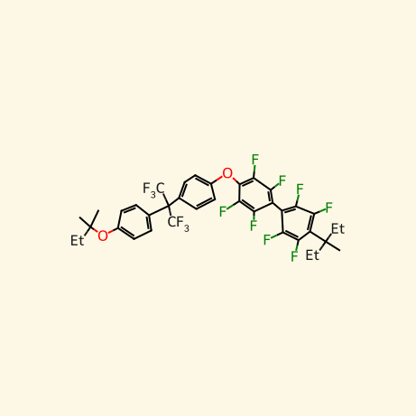 CCC(C)(C)Oc1ccc(C(c2ccc(Oc3c(F)c(F)c(-c4c(F)c(F)c(C(C)(CC)CC)c(F)c4F)c(F)c3F)cc2)(C(F)(F)F)C(F)(F)F)cc1